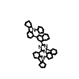 c1ccc(-c2nc(-c3cc(-c4cccc5c6ccccc6n(-c6ccccc6)c45)cc4ccccc34)nc(-c3cccc4c5ccccc5n(-c5ccccc5)c34)n2)cc1